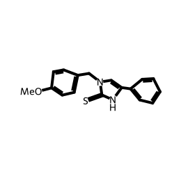 COc1ccc(Cn2cc(-c3ccccc3)[nH]c2=S)cc1